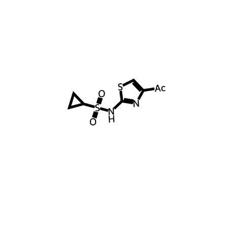 CC(=O)c1csc(NS(=O)(=O)C2CC2)n1